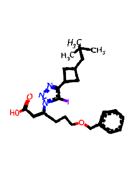 CC(C)(C)CC1CC(c2nnn(C(CCCOCc3ccccc3)CC(=O)O)c2I)C1